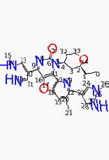 CC[C@H]1C[C@@H](n2c(=O)nc(/C(C=N)=C/NC)c3oc4cc(C)c(C5=CN(C)NC5)nc4c32)CCO1